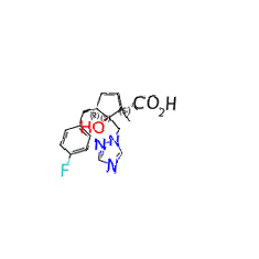 C[C@]1(C(=O)O)CC[C@H](Cc2ccc(F)cc2)[C@@]1(O)Cn1cncn1